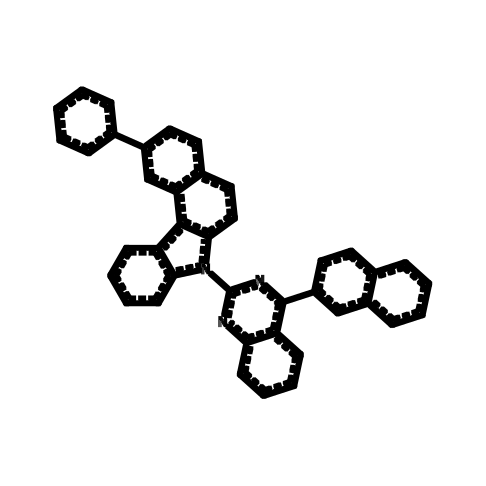 c1ccc(-c2ccc3ccc4c(c3c2)c2ccccc2n4-c2nc(-c3ccc4ccccc4c3)c3ccccc3n2)cc1